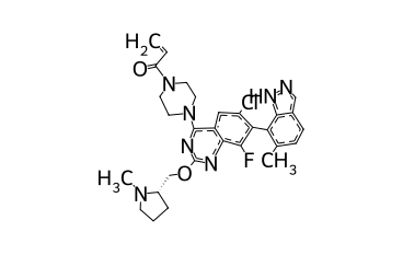 C=CC(=O)N1CCN(c2nc(OC[C@@H]3CCCN3C)nc3c(F)c(-c4c(C)ccc5cn[nH]c45)c(Cl)cc23)CC1